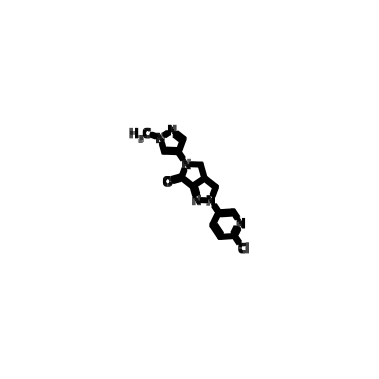 Cn1cc(N2CC3CN(c4ccc(Cl)nc4)N=C3C2=O)cn1